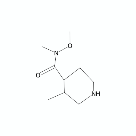 CON(C)C(=O)C1CCNCC1C